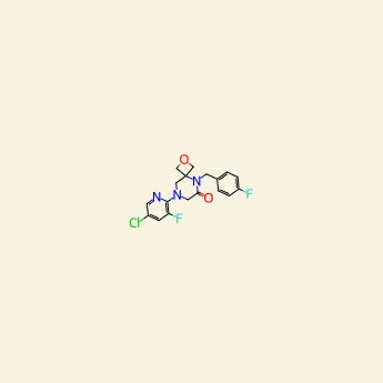 O=C1CN(c2ncc(Cl)cc2F)CC2(COC2)N1Cc1ccc(F)cc1